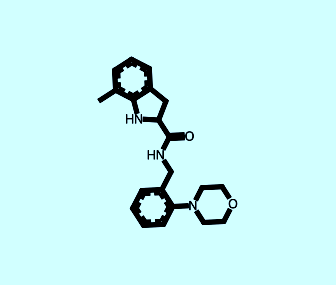 Cc1cccc2c1NC(C(=O)NCc1ccccc1N1CCOCC1)C2